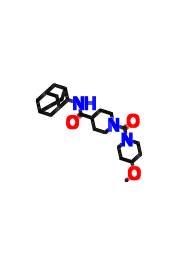 COC1CCN(C(=O)N2CCC(C(=O)NC3C4CC5CC(C4)CC3C5)CC2)CC1